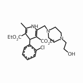 CCOC(=O)C1=C(C)NC(CN2CCN(CCO)CC2)=C(C(=O)OCC)C1c1ccccc1Cl